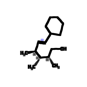 C[C@H]([C@@H](C)/C=C/C1CCCCC1)[C@@H](C)CO